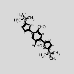 C[Si](C)(C)c1ccc(-c2cc(C=O)c(-c3ccc([Si](C)(C)C)s3)cc2C=O)s1